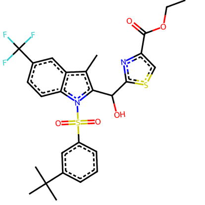 CCOC(=O)c1csc(C(O)c2c(C)c3cc(C(F)(F)F)ccc3n2S(=O)(=O)c2cccc(C(C)(C)C)c2)n1